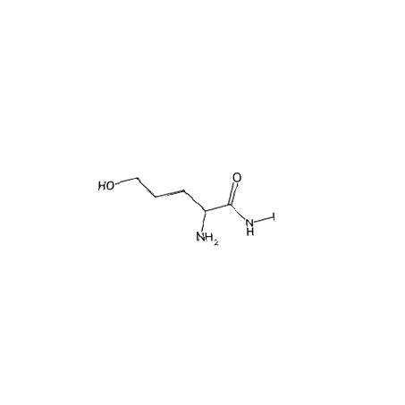 NC(CCCO)C(=O)NI